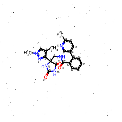 Cc1cn(C)nc1C1(CNC(=O)c2ccccc2-c2ccc(C(F)(F)F)nc2)NC(=O)NC1=O